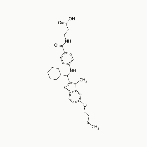 CSCCOc1ccc2oc(C(Nc3ccc(C(=O)NCCC(=O)O)cc3)C3CCCCC3)c(C)c2c1